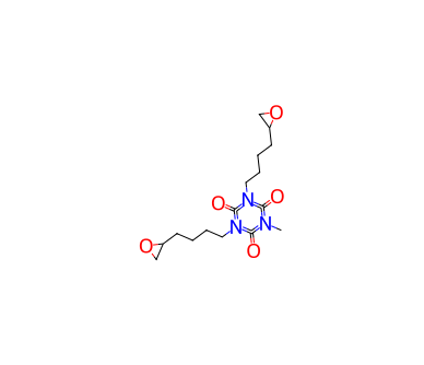 Cn1c(=O)n(CCCCC2CO2)c(=O)n(CCCCC2CO2)c1=O